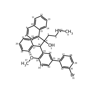 CNCCC(O)(c1cccc2ccccc12)C(c1ccccc1)c1cc(-c2cccc(Br)c2)cnc1OC